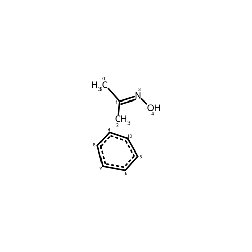 CC(C)=NO.c1ccccc1